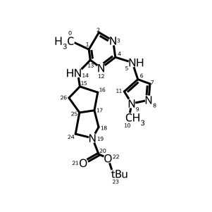 Cc1cnc(Nc2cnn(C)c2)nc1NC1CC2CN(C(=O)OC(C)(C)C)CC2C1